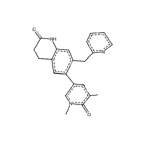 Cc1cc(-c2cc3c(cc2Cc2ccccn2)NC(=O)CC3)cn(C)c1=O